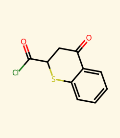 O=C1CC(C(=O)Cl)Sc2ccccc21